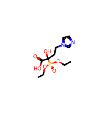 CCOP(=O)(OCC)C(O)(CCn1ccnc1)C(=O)O